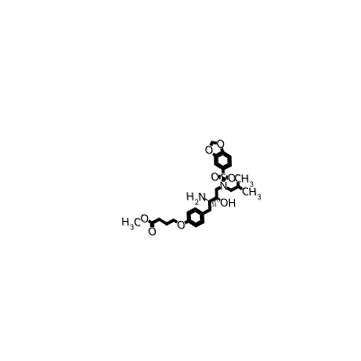 COC(=O)CCCOc1ccc(C[C@H](N)[C@H](O)CN(CC(C)C)S(=O)(=O)c2ccc3c(c2)OCO3)cc1